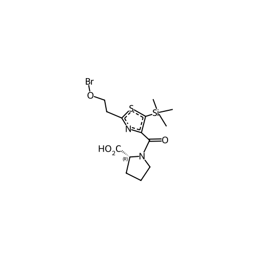 C[Si](C)(C)c1sc(CCOBr)nc1C(=O)N1CCC[C@@H]1C(=O)O